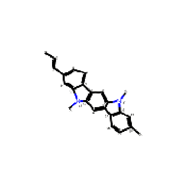 C/C=C/c1ccc2c3cc4c(cc3n(C)c2c1)c1ccc(C)cc1n4C